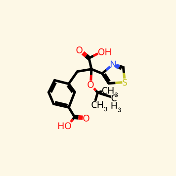 CC(C)(C)OC(Cc1cccc(C(=O)O)c1)(C(=O)O)c1cscn1